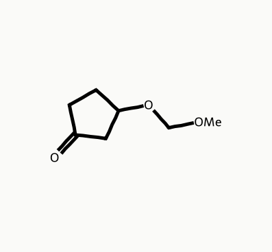 COCOC1CCC(=O)C1